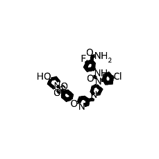 NC(=O)c1cc(NC(=O)N(c2ccc(Cl)cc2)C2CCN(Cc3ccc(Oc4ccc(S(=O)(=O)N5CCC(O)CC5)cc4)nc3)CC2)ccc1F